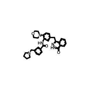 O=C(Nc1cc(Cc2n[nH]c(=O)c3ccccc23)ccc1N1CCOCC1)c1cccc(CN2CCCC2)c1